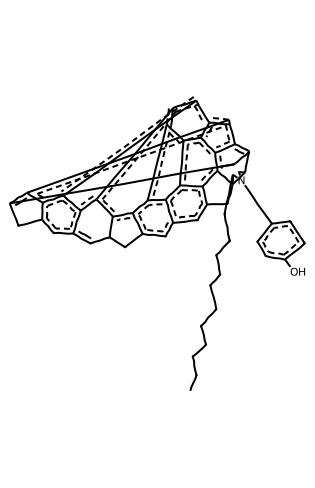 CCCCCCCCCCCC1N(c2ccc(O)cc2)CC2C3=c4c5c6c7c(cc8cc9c%10c%11c%12c%13c(cc%14c%15c(c4c4c5c5c7c8c%10c5c%12c4c%15%13)=C(C3)C%14)=CC%11C9)CC621